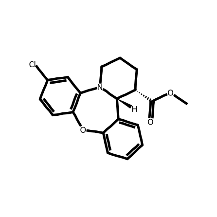 COC(=O)[C@H]1CCCN2c3cc(Cl)ccc3Oc3ccccc3[C@@H]12